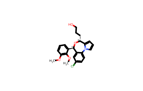 COc1cccc([C@H]2O[C@H](CCCO)c3cccn3-c3ccc(Cl)cc32)c1OC